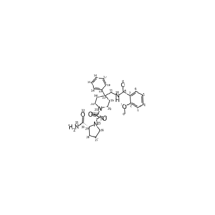 COc1ccccc1C(=O)NCC1(c2ccccc2)CCN(S(=O)(=O)N2CCC[C@@H]2C(N)=O)CC1